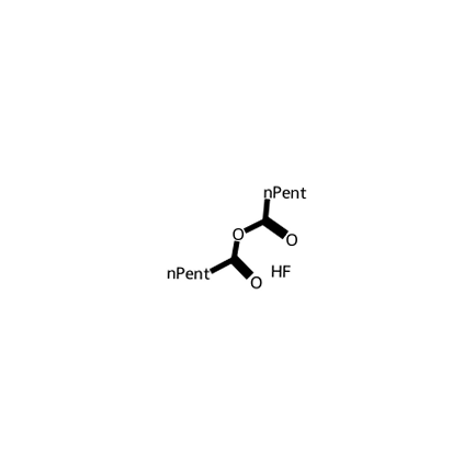 CCCCCC(=O)OC(=O)CCCCC.F